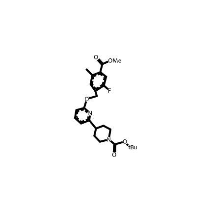 COC(=O)c1cc(F)c(COc2cccc(C3CCN(C(=O)OC(C)(C)C)CC3)n2)cc1C